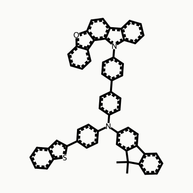 CC1(C)c2ccccc2-c2ccc(N(c3ccc(-c4ccc(-n5c6ccccc6c6ccc7oc8ccccc8c7c65)cc4)cc3)c3ccc(-c4cc5ccccc5s4)cc3)cc21